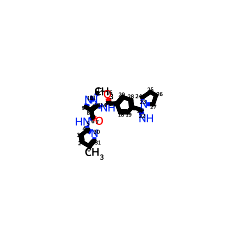 Cc1ccc(NC(=O)c2cnn(C)c2NC(=O)c2ccc(C(=N)N3CCCC3)cc2)nc1